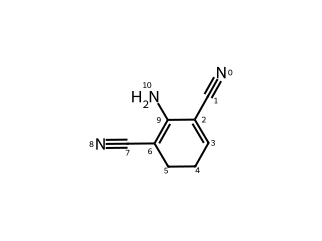 N#CC1=CCCC(C#N)=C1N